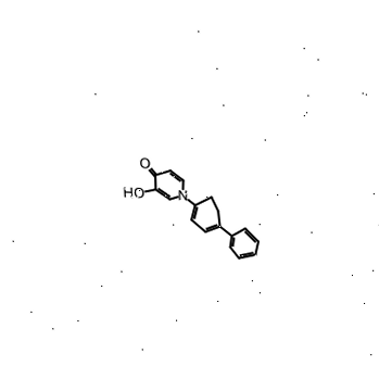 O=c1ccn(C2=CC=C(c3ccccc3)CC2)cc1O